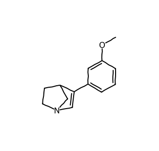 COc1cccc(C2=CN3CCC2C3)c1